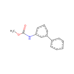 COC(=O)Nc1cccc(-c2ccccc2)c1